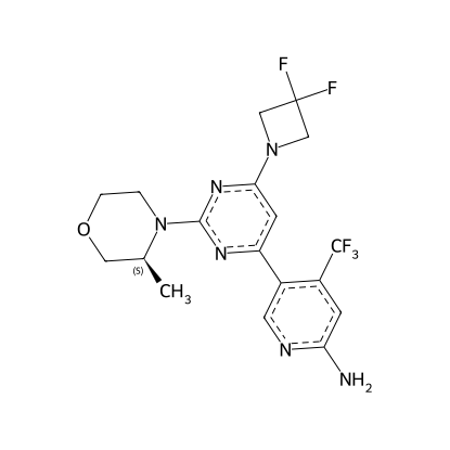 C[C@H]1COCCN1c1nc(-c2cnc(N)cc2C(F)(F)F)cc(N2CC(F)(F)C2)n1